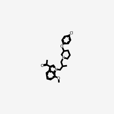 COc1cccc2c(C(C)=O)cn(CC(C)CN3CCCC(Oc4ccc(Cl)cc4)C3)c12